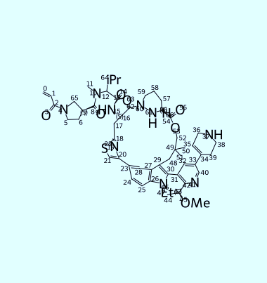 C=CC(=O)N1CC[C@H](C(=O)N(C)C(C(=O)N[C@H]2Cc3nc(cs3)-c3ccc4c(c3)c(c(-c3cc(C5=CCNCC5)cnc3[C@H](C)OC)n4CC)CC(C)(C)COC(=O)[C@@H]3CCCN(N3)C2=O)C(C)C)C1